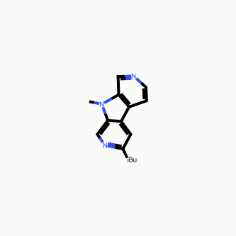 CCC(C)c1cc2c3ccncc3n(C)c2cn1